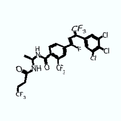 CC(NC(=O)CCC(F)(F)F)NC(=O)c1ccc(/C(F)=C/C(c2cc(Cl)c(Cl)c(Cl)c2)C(F)(F)F)cc1C(F)(F)F